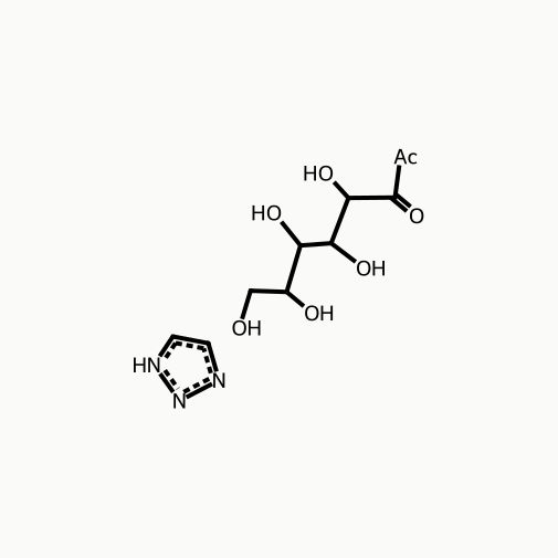 CC(=O)C(=O)C(O)C(O)C(O)C(O)CO.c1c[nH]nn1